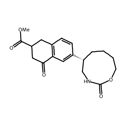 COC(=O)C1CC(=O)c2cc([C@@H]3CCCCOC(=O)NC3)ccc2C1